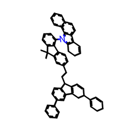 CC1(C)c2cc(CCC3C4=C(CC(C5=CCCC=C5)C=C4)c4cc(-c5ccccc5)ccc43)ccc2-c2c(-n3c4c(c5ccc6ccccc6c53)C=CCC4)cccc21